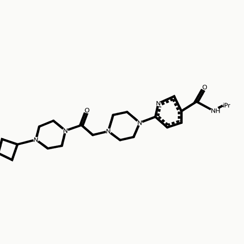 CC(C)NC(=O)c1ccc(N2CCN(CC(=O)N3CCN(C4CCC4)CC3)CC2)nc1